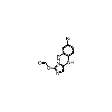 O=COc1ncc(Nc2ccc(Br)cc2F)[nH]1